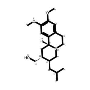 COc1cc2c(cc1OC)[C@H]1C[C@@H](CO)[C@H](CC(C)C)CN1CC2